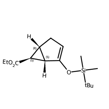 CCOC(=O)[C@H]1[C@@H]2CC=C(O[Si](C)(C)C(C)(C)C)[C@@H]21